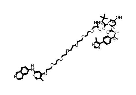 Cc1cnc(Nc2ccc3cnccc3c2)cc1OCCOCCOCCOCCOCCOCCOCC(=O)N[C@H](C(=O)N1C[C@H](O)C[C@H]1C(=O)N[C@@H](C)c1ccc(-c2scnc2C)cc1)C(C)(C)C